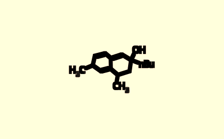 CCCCC1(O)C=C2C=CC(C)C=C2C(C)C1